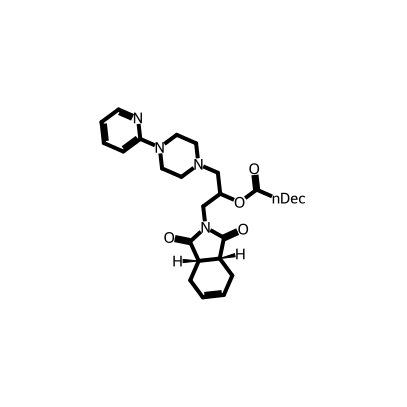 CCCCCCCCCCC(=O)OC(CN1CCN(c2ccccn2)CC1)CN1C(=O)[C@H]2CC=CC[C@H]2C1=O